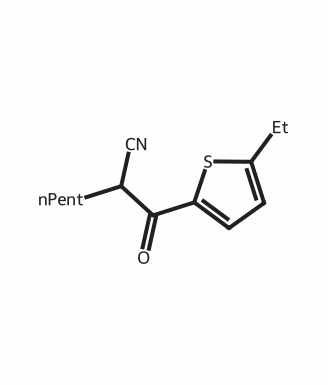 CCCCCC(C#N)C(=O)c1ccc(CC)s1